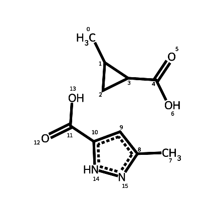 CC1CC1C(=O)O.Cc1cc(C(=O)O)[nH]n1